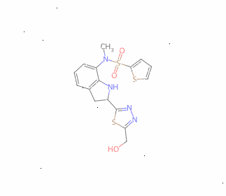 CN(c1cccc2c1NC(c1nnc(CO)s1)C2)S(=O)(=O)c1cccs1